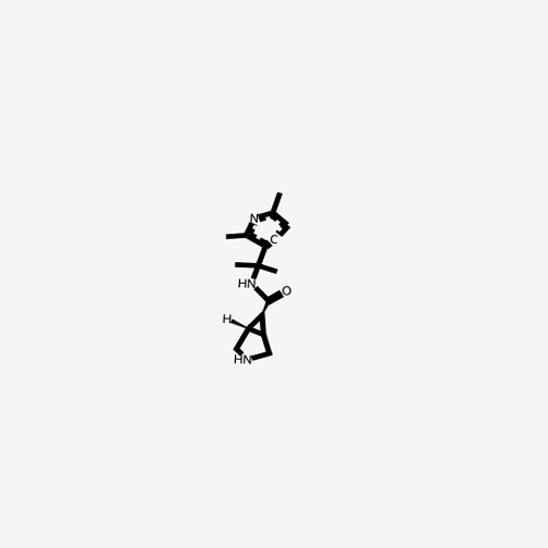 Cc1ccc(C(C)(C)NC(=O)[C@H]2C3CNC[C@@H]32)c(C)n1